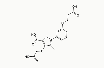 Cc1c(-c2cccc(OCCC(=O)O)c2)sc(C(=O)O)c1OCC(=O)O